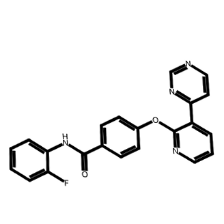 O=C(Nc1ccccc1F)c1ccc(Oc2ncccc2-c2ccncn2)cc1